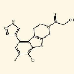 Cc1cc(-c2cn[nH]c2)c2c3c(sc2c1Cl)CN(C(=O)CO)CC3